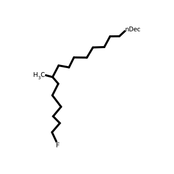 CCCCCCCCCCCCCCCCCCC(C)CCCCCCF